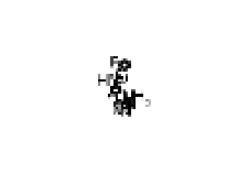 Cc1cc(NC(=O)Cc2ccccc2F)ccc1-c1cn(C)c2ncnc(N)c12